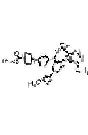 Cc1nnc2n1-c1ccc(-c3cnn(C)c3)cc1C(c1ccc(N3CCN(C(=O)OC(C)(C)C)CC3)cc1)=NC21CC1